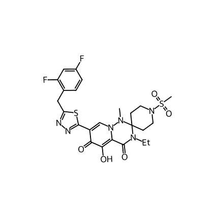 CCN1C(=O)c2c(O)c(=O)c(-c3nnc(Cc4ccc(F)cc4F)s3)cn2N(C)C12CCN(S(C)(=O)=O)CC2